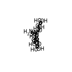 CC(C)(O/N=C(\C(=O)N[C@@H]1C(=O)N2C(OC(=O)O)=C(CS(=O)(=O)c3ccc(O)c(O)c3)CS[C@H]12)c1csc(N)n1)C(=O)NNC(=O)c1ccc(O)c(O)c1